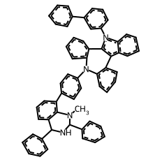 CN1c2c(-c3ccc(N4c5ccccc5-c5c(n(-c6cccc(-c7ccccc7)c6)c6ccccc56)-c5ccccc54)cc3)cccc2C(c2ccccc2)NC1c1ccccc1